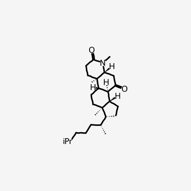 CC(C)CCC[C@@H](C)[C@H]1CC[C@H]2[C@@H]3C(=O)C[C@H]4N(C)C(=O)CC[C@]4(C)[C@H]3CC[C@]12C